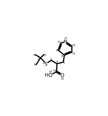 CC(C)(C)SCC(Cc1ccncc1)C(=O)O